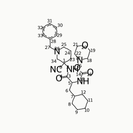 N#CC1(NC(=O)C(CC2CCCCC2)NC(=O)ON2CCOCC2)CCCN(Cc2ccccc2)C1